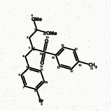 COC(CN(Cc1ccc(Br)cc1)S(=O)(=O)c1ccc(C)cc1)OC